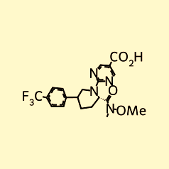 CON(C)C(=O)[C@@H]1CCC(c2ccc(C(F)(F)F)cc2)CN1c1ncc(C(=O)O)cn1